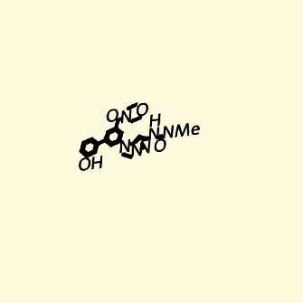 CNC(=O)Nc1cc2n(n1)CCN2c1cc(C(=O)N2CCOCC2)cc(-c2cccc(O)c2)c1